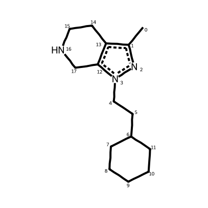 Cc1nn(CCC2CCCCC2)c2c1CCNC2